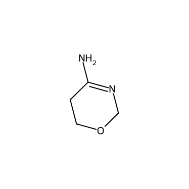 NC1=NCOCC1